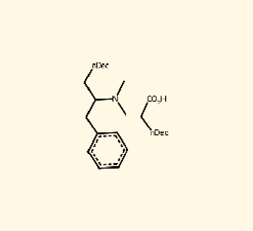 CCCCCCCCCCCC(=O)O.CCCCCCCCCCCC(Cc1ccccc1)N(C)C